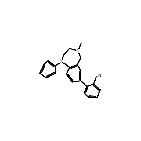 CN1CCN(c2ccccc2)c2ccc(-c3ccccc3C#N)cc2C1